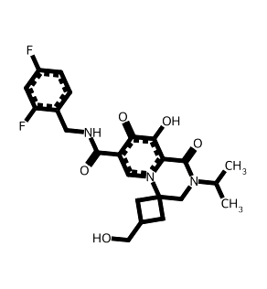 CC(C)N1CC2(CC(CO)C2)n2cc(C(=O)NCc3ccc(F)cc3F)c(=O)c(O)c2C1=O